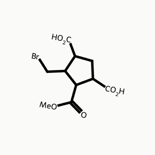 COC(=O)C1C(C(=O)O)CC(C(=O)O)C1CBr